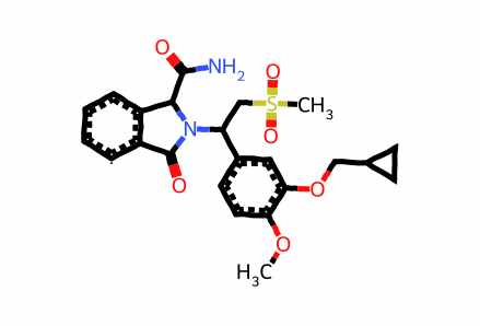 COc1ccc(C(CS(C)(=O)=O)N2C(=O)c3[c]cccc3C2C(N)=O)cc1OCC1CC1